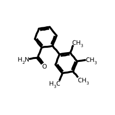 Cc1cc(-c2ccccc2C(N)=O)c(C)c(C)c1C